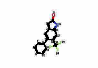 O=C1C=c2cc(-c3ccccc3)c(C(F)(F)F)cc2=N1